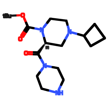 CC(C)(C)OC(=O)N1CCN(C2CCC2)C[C@@H]1C(=O)N1CCNCC1